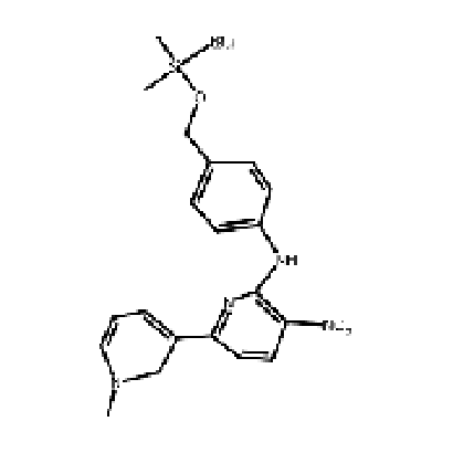 CN1C=CC=C(c2ccc([N+](=O)[O-])c(Nc3ccc(CO[Si](C)(C)C(C)(C)C)cc3)n2)C1